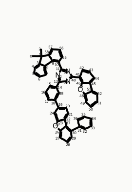 CC1(C)c2ccccc2-c2c(-c3nc(-c4cccc(-c5ccc6c(c5)oc5cccc(-c7ccccc7)c56)c4)nc(-c4cccc5c4oc4ccccc45)n3)cccc21